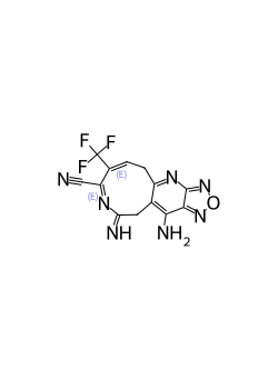 N#CC1=N/C(=N)Cc2c(nc3nonc3c2N)C/C=C\1C(F)(F)F